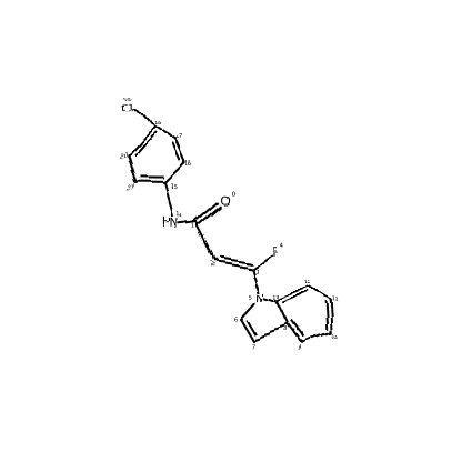 O=C(/C=C(\F)n1ccc2ccccc21)Nc1ccc(Cl)cc1